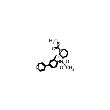 COC(=O)N1CCC[C@H](NS(C)(=O)=O)[C@@H]1Cc1cccc(-c2ccncc2)c1